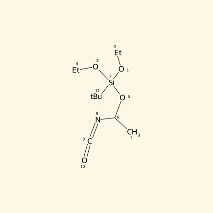 CCO[Si](OCC)(OC(C)N=C=O)C(C)(C)C